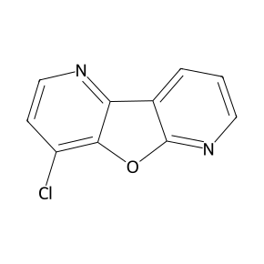 Clc1ccnc2c1oc1ncccc12